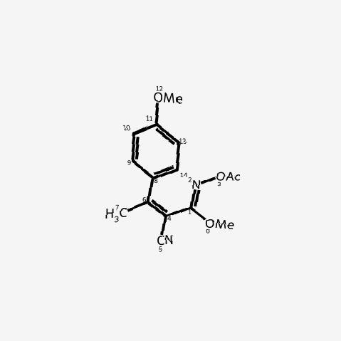 COC(=NOC(C)=O)C(C#N)=C(C)c1ccc(OC)cc1